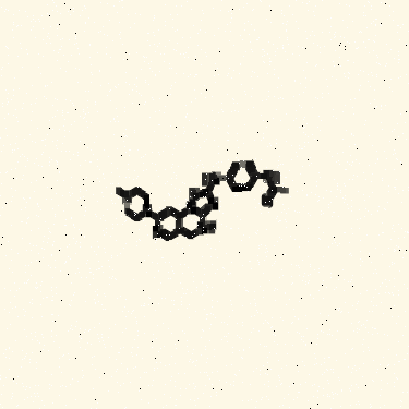 CC(=O)Nc1ccc(Nc2nc3n(n2)-c2cc(N4CCN(C)CC4)ncc2CN3)cc1